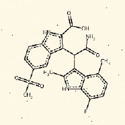 Cc1[nH]c2c(F)ccc(C)c2c1C(C(N)=O)c1c(C(=O)O)[nH]c2ccc(S(C)(=O)=O)cc12